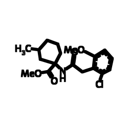 COC(=O)C1(NC(=O)Cc2c(Cl)cccc2OC)CCCC(C)C1